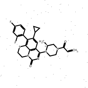 C=CC(=O)N1CCN(c2nc(=O)n3c4c(c(-c5ccc(F)cc5F)c(C5CC5)cc24)SCC3)[C@@H](C)C1